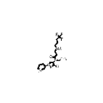 CCN(C(=O)CCNCCCC(F)(F)F)c1cn(-c2cccnc2)nc1Cl